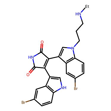 CCNCCCn1cc(C2=C(c3c[nH]c4ccc(Br)cc34)C(=O)NC2=O)c2cc(Br)ccc21